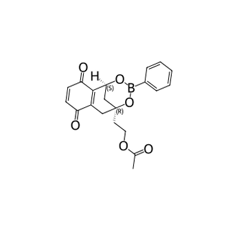 CC(=O)OCC[C@]12CC3=C(C(=O)C=CC3=O)[C@H](C1)OB(c1ccccc1)O2